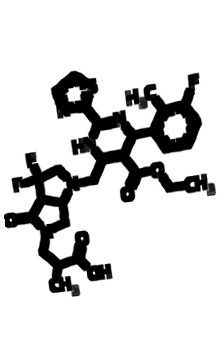 CCOC(=O)C1=C(CN2CC(F)(F)C3C(=O)N(CC(C)C(=O)O)CC32)NC(c2nccs2)=NC1c1cccc(F)c1C